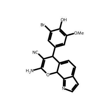 COc1cc(C2C3=CC=C4C=CN=C4C3OC(N)=C2C#N)cc(Br)c1O